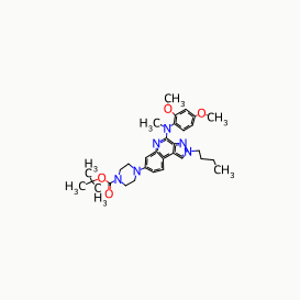 CCCCn1cc2c(n1)c(N(C)c1ccc(OC)cc1OC)nc1cc(N3CCN(C(=O)OC(C)(C)C)CC3)ccc12